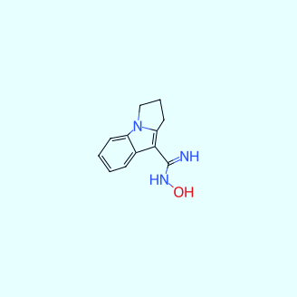 N=C(NO)c1c2n(c3ccccc13)CCC2